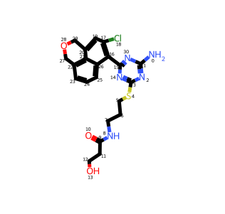 Nc1nc(SCCCNC(=O)CCO)nc(-c2c(Cl)cc3c4c(cccc24)COC3)n1